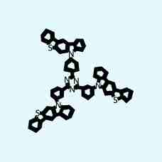 c1cc(-c2nc(-c3ccc(-n4c5ccccc5c5cc6c(cc54)sc4ccccc46)cc3)nc(-c3cccc(-n4c5ccccc5c5cc6c(cc54)sc4ccccc46)c3)n2)cc(-n2c3ccccc3c3cc4c(cc32)sc2ccccc24)c1